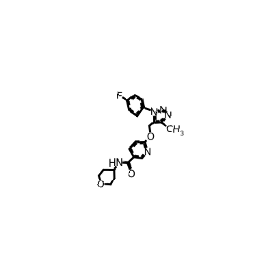 Cc1nnn(-c2ccc(F)cc2)c1COc1ccc(C(=O)NC2CCOCC2)cn1